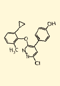 Cc1cccc(C2CC2)c1Oc1nnc(Cl)cc1-c1ccc(O)cc1